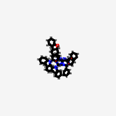 c1ccc(-c2nc(-c3ccccc3)nc(-c3cccc(-n4c5ccccc5c5ccc6c7ccccc7n(-c7nc(-c8ccccc8)nc(-c8ccc9c(c8)oc8ccccc89)n7)c6c54)c3)n2)cc1